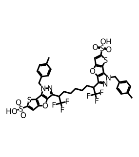 Cc1ccc(Cn2nc(C(CCCCCC(c3nn(Cc4ccc(C)cc4)c4c3oc3cc(S(=O)(=O)O)sc34)C(F)(F)F)C(F)(F)F)c3oc4cc(S(=O)(=O)O)sc4c32)cc1